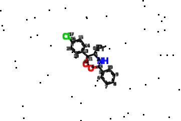 CC(C)C(NC(=O)c1ccccc1)C(=O)c1ccc(Cl)cc1